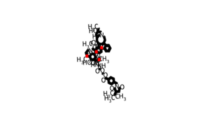 CC[C@]1(O)C[C@@H]2CN(CCc3c([nH]c4ccccc34)[C@@](C(=O)OC)(c3ccc4c(c3)[C@@]35CCN6CC=C[C@@](CC)([C@@H](O)[C@](O)(C(=O)NNC(=O)OCOC(=O)C7CCC(CN8C(=O)CC(C(C)(C)C)C8=O)CC7)[C@@H]3N4C)[C@H]65)C2)C1